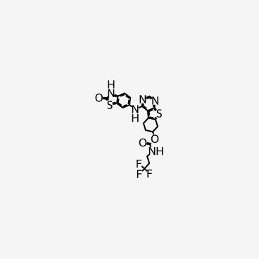 O=C(NCCC(F)(F)F)OC1CCc2c(sc3ncnc(Nc4ccc5[nH]c(=O)sc5c4)c23)C1